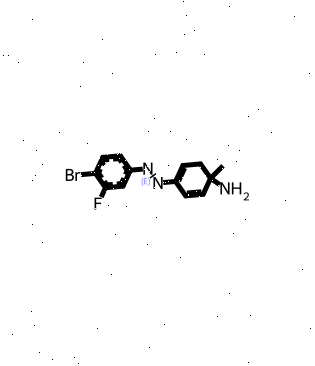 CC1(N)C=CC(/N=N/c2ccc(Br)c(F)c2)=CC1